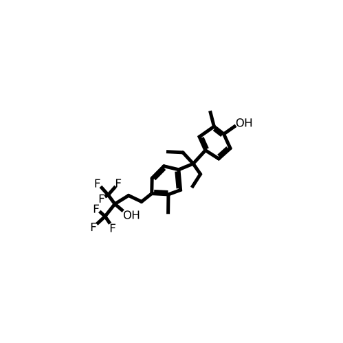 CCC(CC)(c1ccc(O)c(C)c1)c1ccc(CCC(O)(C(F)(F)F)C(F)(F)F)c(C)c1